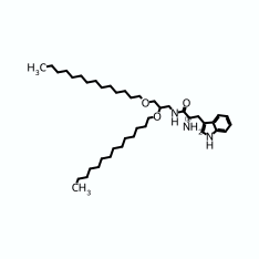 CCCCCCCCCCCCCCOCC(CNC(=O)[C@@H](N)Cc1c[nH]c2ccccc12)OCCCCCCCCCCCCCC